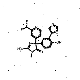 CN1C(=O)C(c2ccnc(C(F)F)c2)(c2ccc(O)c(-c3cnco3)c2)N=C1N